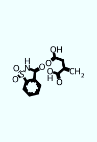 C=C(CC(=O)O)C(=O)O.O=C1NS(=O)(=O)c2ccccc21